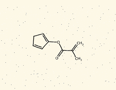 C=C(C)C(=O)OC1=CCC=C1